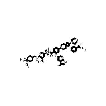 CC(C)c1ccccc1[C@@H]1COCCN1C1CC2(CCN(c3ccc(C(=O)NS(=O)(=O)c4cnc(NCC5CCC(C)(C)CC5)c([N+](=O)[O-])c4)c(Oc4cnc5[nH]cc(Cl)c5c4)c3)CC2)C1